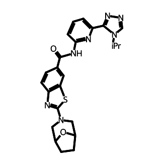 CC(C)n1cnnc1-c1cccc(NC(=O)c2ccc3nc(N4CC5CCC(C4)O5)sc3c2)n1